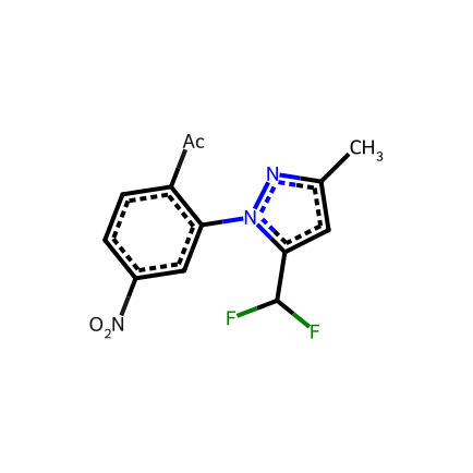 CC(=O)c1ccc([N+](=O)[O-])cc1-n1nc(C)cc1C(F)F